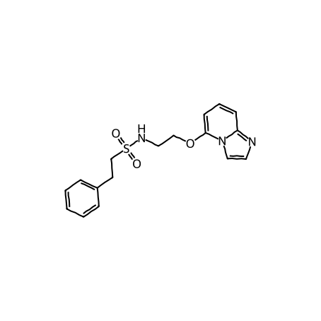 O=S(=O)(CCc1ccccc1)NCCOc1cccc2nccn12